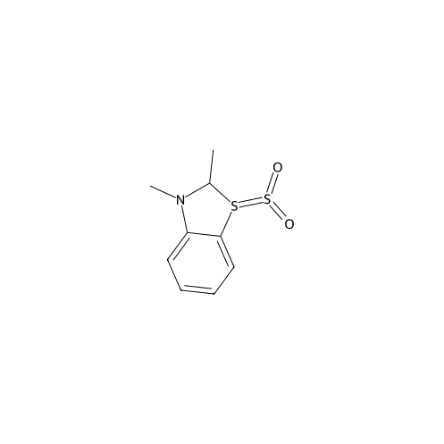 CC1N(C)c2ccccc2S1=S(=O)=O